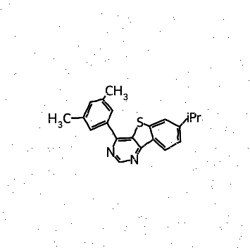 Cc1cc(C)cc(-c2ncnc3c2sc2cc(C(C)C)ccc23)c1